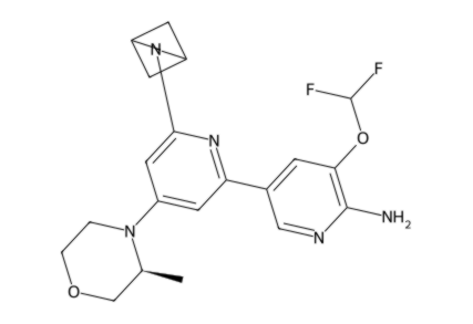 C[C@H]1COCCN1c1cc(-c2cnc(N)c(OC(F)F)c2)nc(N2CC3CC2C3)c1